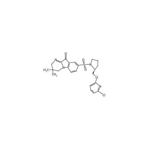 CC1(C)CN=C2C(=O)c3cc(S(=O)(=O)N4CCC[C@H]4COc4cccc(Cl)n4)ccc3N2C1